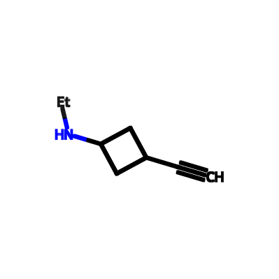 C#CC1CC(NCC)C1